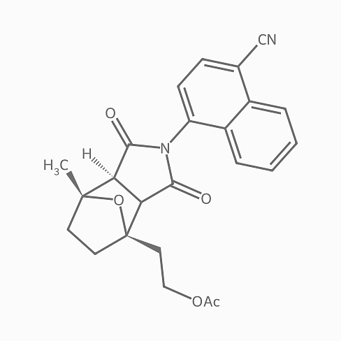 CC(=O)OCC[C@@]12CC[C@@](C)(O1)[C@H]1C(=O)N(c3ccc(C#N)c4ccccc34)C(=O)C12